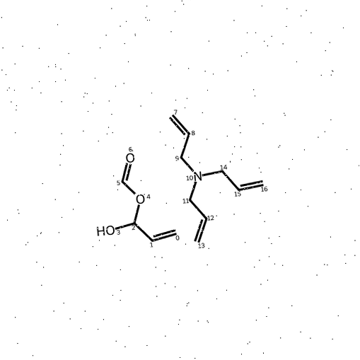 C=CC(O)OC=O.C=CCN(CC=C)CC=C